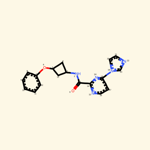 O=C(NC1CC(Oc2ccccc2)C1)c1nccc(-n2ccnc2)n1